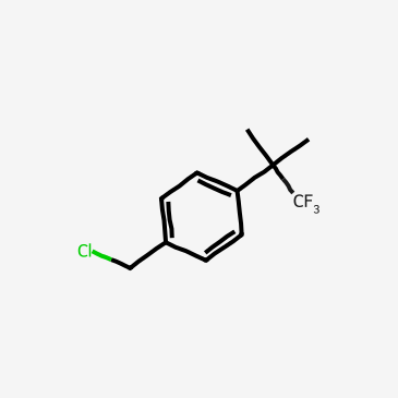 CC(C)(c1ccc(CCl)cc1)C(F)(F)F